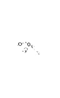 C[Si](C)(C)CCOCn1cnc(-c2cc(F)c(C(=O)NCc3ccc(Cl)cc3)cc2O[C@H]2CCN3C(=O)OC[C@@H]3C2)c1